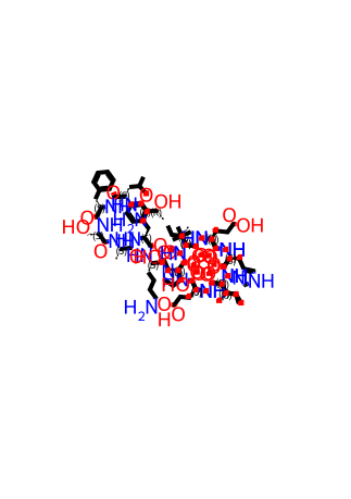 CC[C@H](C)[C@H](NC(=O)[C@H](C)NC(=O)[C@H](C)NC(=O)[C@@H](N(C)C(=O)[C@@H]1CCCN1C(=O)[C@H](CCCCN)NC(=O)[C@H](Cc1ccccc1)NC(=O)[C@H](C)NC(=O)[C@H](CO)NC(=O)[C@H](Cc1ccccc1)NC(=O)[C@H](CC(C)C)NC(=O)[C@@H](N)[C@@H](C)O)C(C)(C)C)C(=O)N[C@@H](C)C(=O)N[C@@H](CC(=O)O)C(=O)N[C@H](C(=O)N[C@@H](CCC(=O)O)C(=O)N[C@@H](Cc1c[nH]cn1)C(=O)N[C@H](C(=O)N[C@@H](CCC(=O)O)C(=O)O)[C@@H](C)CC)[C@@H](C)CC